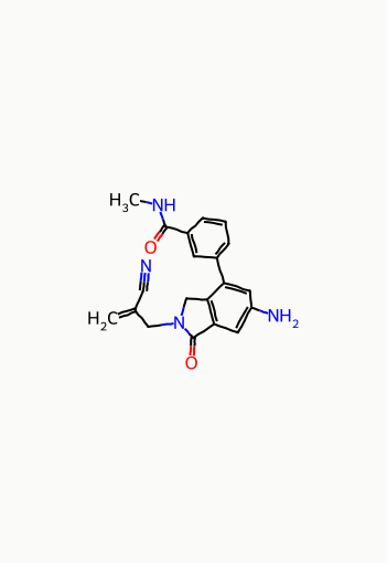 C=C(C#N)CN1Cc2c(cc(N)cc2-c2cccc(C(=O)NC)c2)C1=O